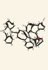 c1ccc(C23c4ccccc4-c4cccc(c42)C2(c4ccccc4-c4cc(N5c6ccccc6Sc6ccccc65)ccc42)c2ccccc23)cc1